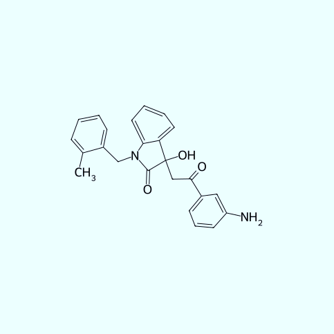 Cc1ccccc1CN1C(=O)C(O)(CC(=O)c2cccc(N)c2)c2ccccc21